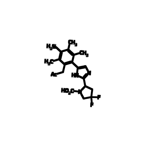 CC(=O)Cc1c(C)c([SiH3])c(C)c(C)c1-c1cnc(C2CC(F)(F)CN2C(=O)O)[nH]1